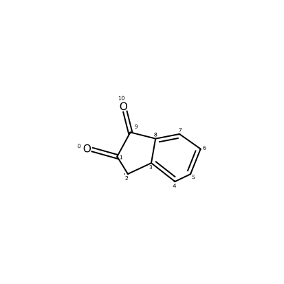 O=C1[CH]c2ccccc2C1=O